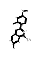 COc1ccc(-c2cc3ccc(C)cc3c(N)n2)c(C)c1